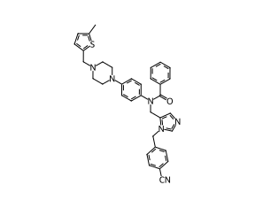 Cc1ccc(CN2CCN(c3ccc(N(Cc4cncn4Cc4ccc(C#N)cc4)C(=O)c4ccccc4)cc3)CC2)s1